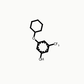 Oc1cc(OC2CCCCC2)cc(C(F)(F)F)c1